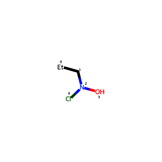 CCCN(O)Cl